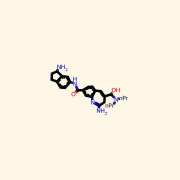 CCCN(CCC)C(O)C1=Cc2ccc(C(=O)Nc3ccc4c(c3)C(N)CC4)cc2N=C(N)C1